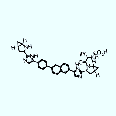 CC(C)[C@H](NC(=O)O)C(=O)N1[C@@H]2C[C@@H]2C[C@H]1c1ncc(-c2ccc3cc(-c4ccc(-c5cnc(C6C[C@H]7C[C@H]7N6)[nH]5)cc4)ccc3c2)[nH]1